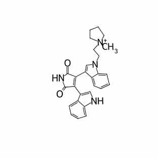 C[N+]1(CCn2cc(C3=C(c4c[nH]c5ccccc45)C(=O)NC3=O)c3ccccc32)CCCC1